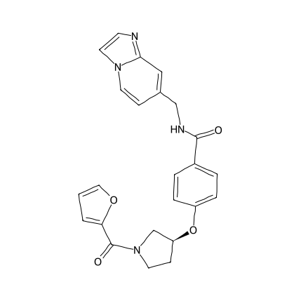 O=C(NCc1ccn2ccnc2c1)c1ccc(O[C@H]2CCN(C(=O)c3ccco3)C2)cc1